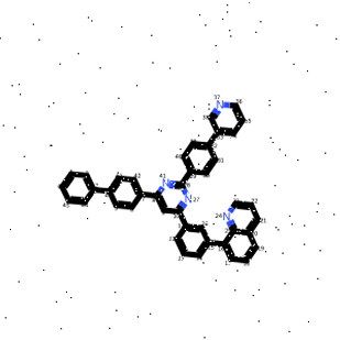 c1ccc(-c2ccc(-c3cc(-c4cccc(-c5cccc6cccnc56)c4)nc(-c4ccc(-c5cccnc5)cc4)n3)cc2)cc1